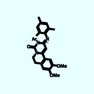 COc1cc2c(cc1OC)-c1c/c(=N/c3c(C)cc(C)cc3C)n(C(C)=O)c(=O)n1CC2